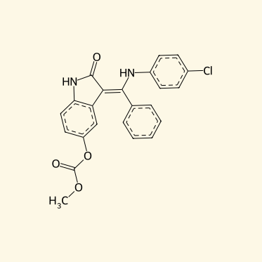 COC(=O)Oc1ccc2c(c1)/C(=C(/Nc1ccc(Cl)cc1)c1ccccc1)C(=O)N2